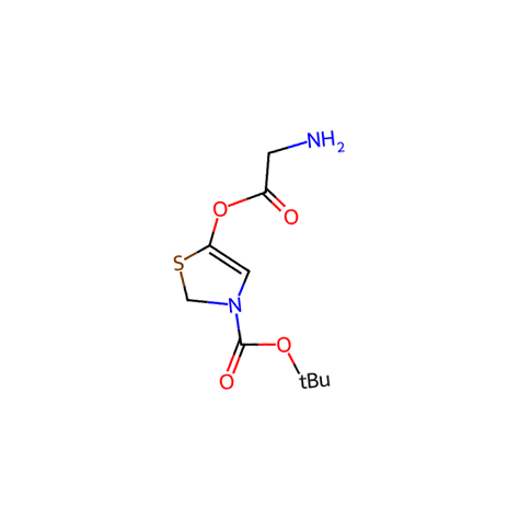 CC(C)(C)OC(=O)N1C=C(OC(=O)CN)SC1